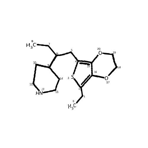 CCc1sc(CC(CC)C2CCNCC2)c2c1OCCO2